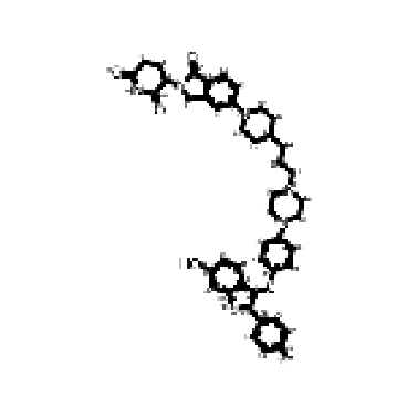 O=C1CCC(N2Cc3cc(N4CCC(CCCN5CCN(c6ccc(Oc7c(-c8ccc(F)cc8)sc8cc(O)ccc78)cc6)CC5)CC4)ccc3C2=O)C(=O)N1